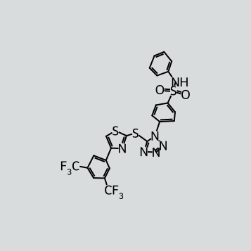 O=S(=O)(Nc1ccccc1)c1ccc(-n2nnnc2Sc2nc(-c3cc(C(F)(F)F)cc(C(F)(F)F)c3)cs2)cc1